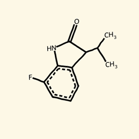 CC(C)C1C(=O)Nc2c(F)cccc21